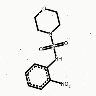 O=[N+]([O-])c1ccccc1NS(=O)(=O)N1CCOCC1